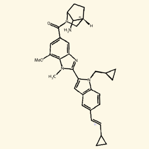 COc1cc(C(=O)N2C[C@H]3CCC2C3N)cc2nc(-c3cc4cc(/C=C/C5CC5)ccc4n3CC3CC3)n(C)c12